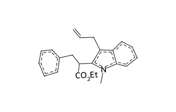 C=CCc1c(C(Cc2ccccc2)C(=O)OCC)n(C)c2ccccc12